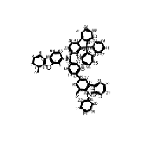 CC1CC=Cc2c1oc1cc(N(c3ccc(C4=Cc5c(n(-c6ccccc6)c6ccccc56)C(C)C4)cc3)c3ccc4c(c3)C(c3ccccc3)(c3ccccc3)c3ccccc3-4)ccc21